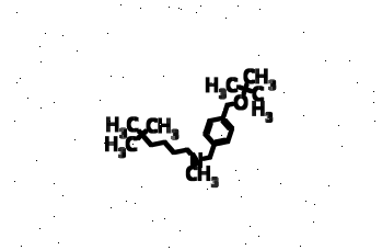 CN(CCCCC(C)(C)C)Cc1ccc(COC(C)(C)C)cc1